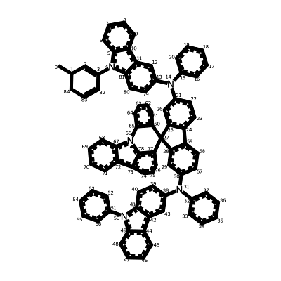 CC1C=C(n2c3ccccc3c3cc(N(c4ccccc4)c4ccc5c(c4)C4(c6cc(N(c7ccccc7)c7ccc8c(c7)c7ccccc7n8-c7ccccc7)ccc6-5)c5ccccc5-n5c6ccccc6c6cccc4c65)ccc32)C=CC1